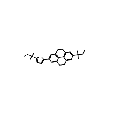 CCC(C)(C)c1cc2c3c(c1)CCc1cc(-c4ccc(C(C)(C)CC)s4)cc(c1-3)CC2